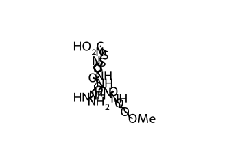 COCCOCCOCNCC(=O)NCC(=O)N[C@@H](CCCNC(=N)N)C(=O)Nc1ccc2nc(C3=N[C@@H](C(=O)O)CS3)sc2c1